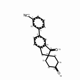 N#Cc1cccc(-c2ccc3c(c2)C(=O)C2(CCC(=O)CC2)C3)c1